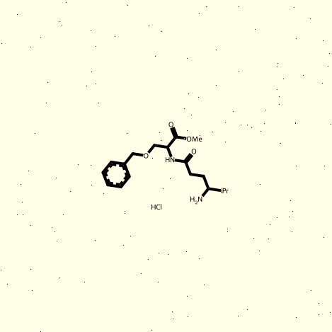 COC(=O)C(COCc1ccccc1)NC(=O)CCC(N)C(C)C.Cl